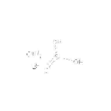 O=[Si](O)O.[CaH2].[LiH]